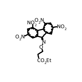 CCOC(=O)CCON=C1c2cc([N+](=O)[O-])cc([N+](=O)[O-])c2-c2c1cc([N+](=O)[O-])cc2[N+](=O)[O-]